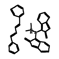 C(C=Cc1ccccc1)=Cc1ccccc1.C=C1C=c2ccccc2=[C]1[Zr]([C]1=c2ccccc2=CC1=C)[SiH](C)C